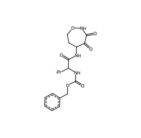 CC(C)C(NC(=O)OCc1ccccc1)C(=O)NC1CCONC(=O)C1=O